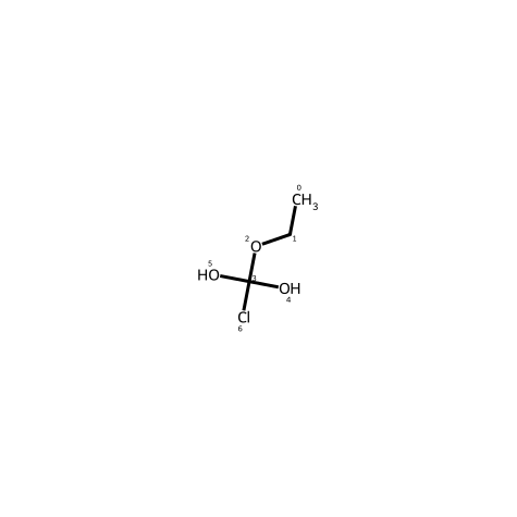 CCOC(O)(O)Cl